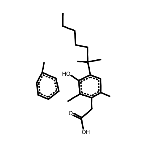 CCCCCC(C)(C)c1cc(C)c(CC(=O)O)c(C)c1O.Cc1ccccc1